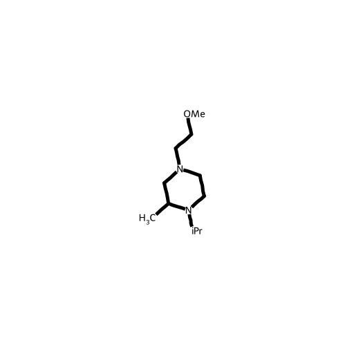 COCCN1CCN(C(C)C)C(C)C1